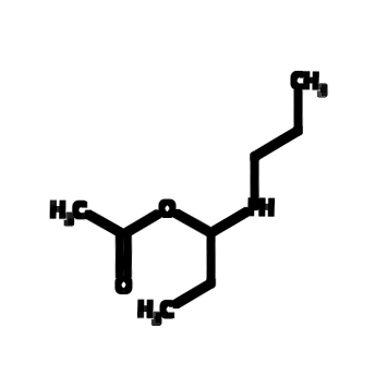 CCCPC(CC)OC(C)=O